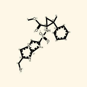 COC(=O)[C@]1(NS(=O)(=O)c2cn3cc(CBr)nc3s2)CC1(C)c1ccccc1